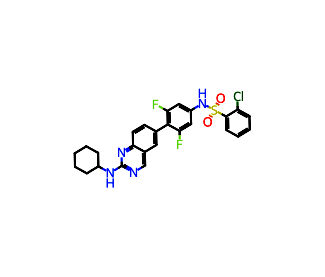 O=S(=O)(Nc1cc(F)c(-c2ccc3nc(NC4CCCCC4)ncc3c2)c(F)c1)c1ccccc1Cl